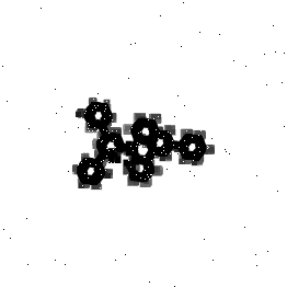 c1ccc(-c2cc(-c3ccccc3)nc(N3c4ncccc4-c4cc(-c5ccccc5)cc5cccc3c45)c2)cc1